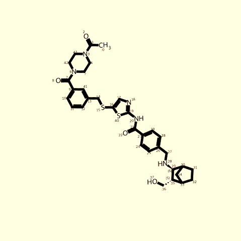 CC(=O)N1CCN(C(=O)c2cccc(CSc3cnc(NC(=O)c4ccc(CN[C@H]5C6CCC(C6)[C@@H]5CO)cc4)s3)c2)CC1